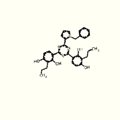 CCCc1c(O)ccc(-c2nc(-c3ccc(O)c(CCC)c3O)nc(-c3cccn3Cc3ccccc3)n2)c1O